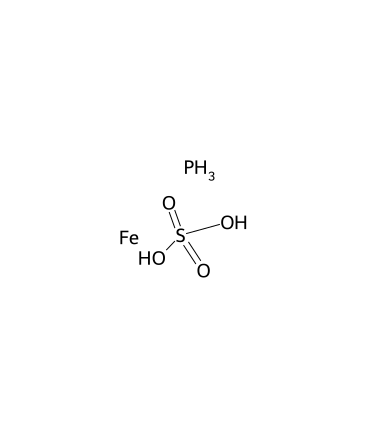 O=S(=O)(O)O.P.[Fe]